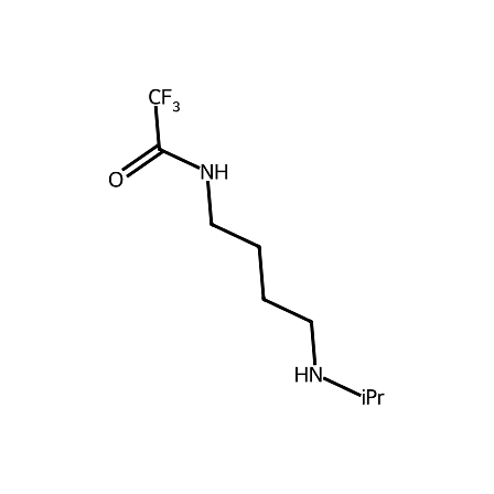 CC(C)NCCCCNC(=O)C(F)(F)F